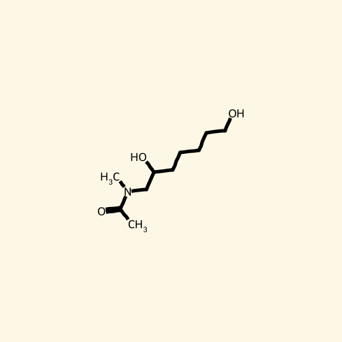 CC(=O)N(C)CC(O)CCCCCO